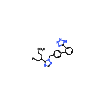 CC(C)CC(CCC(=O)O)c1ncnn1Cc1ccc(-c2ccccc2-c2nnn[nH]2)cc1